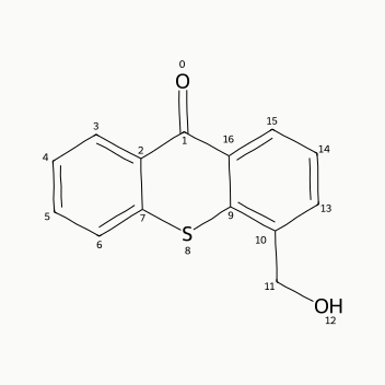 O=c1c2ccccc2sc2c(CO)cccc12